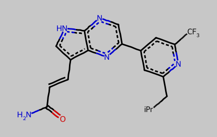 CC(C)Cc1cc(-c2cnc3[nH]cc(C=CC(N)=O)c3n2)cc(C(F)(F)F)n1